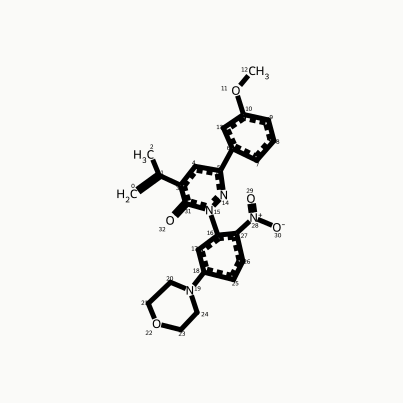 C=C(C)c1cc(-c2cccc(OC)c2)nn(-c2cc(N3CCOCC3)ccc2[N+](=O)[O-])c1=O